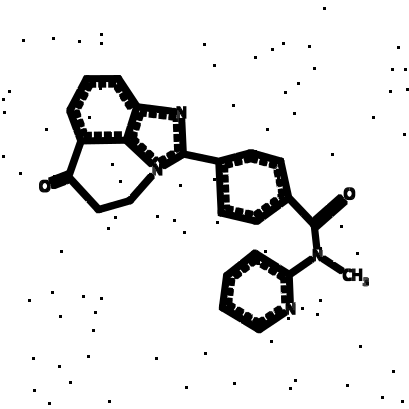 CN(C(=O)c1ccc(-c2nc3cccc4c3n2CCC4=O)cc1)c1ccccn1